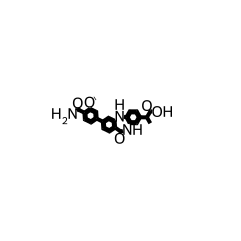 COc1cc(-c2ccc3c(c2)Nc2ccc(C(C)C(=O)O)cc2NC3=O)ccc1C(N)=O